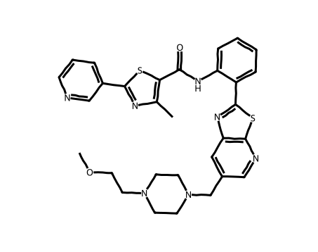 COCCN1CCN(Cc2cnc3sc(-c4ccccc4NC(=O)c4sc(-c5cccnc5)nc4C)nc3c2)CC1